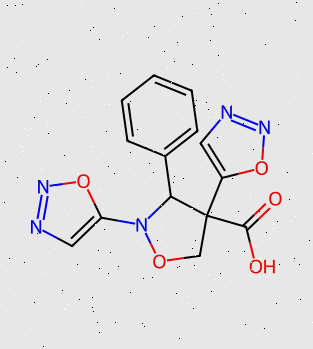 O=C(O)C1(c2cnno2)CON(c2cnno2)C1c1ccccc1